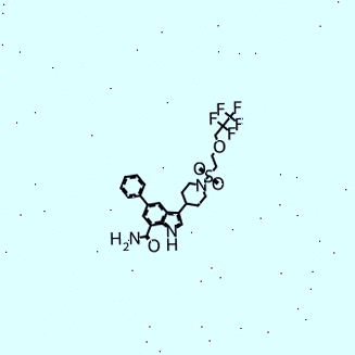 NC(=O)c1cc(-c2ccccc2)cc2c(C3CCN(S(=O)(=O)CCOCC(F)(F)C(F)(F)F)CC3)c[nH]c12